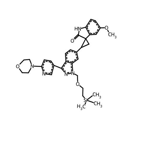 COc1ccc2c(c1)C1(CC1c1ccc3c(-c4ccc(N5CCOCC5)nc4)nn(COCC[Si](C)(C)C)c3c1)C(=O)N2